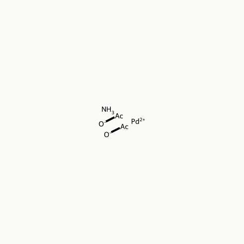 CC(=O)[O-].CC(=O)[O-].N.[Pd+2]